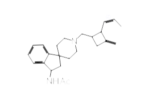 C=C1CC(CN2CCC3(CC2)CC(NC(C)=O)c2ccccc23)C1/C=C\C